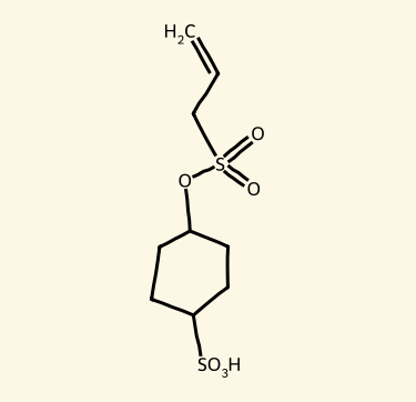 C=CCS(=O)(=O)OC1CCC(S(=O)(=O)O)CC1